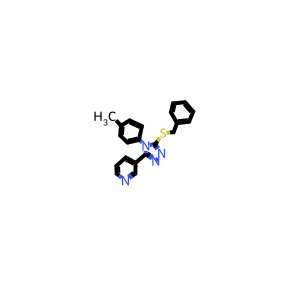 Cc1ccc(-n2c(SCc3ccccc3)nnc2-c2cccnc2)cc1